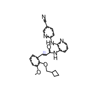 COc1cccc(/C=C/C(=O)Nc2cccnc2Nc2ccc(C#N)cn2)c1OCC1CCC1